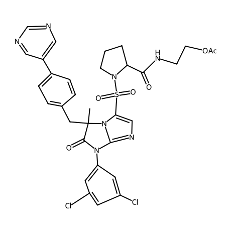 CC(=O)OCCNC(=O)C1CCCN1S(=O)(=O)c1cnc2n1C(C)(Cc1ccc(-c3cncnc3)cc1)C(=O)N2c1cc(Cl)cc(Cl)c1